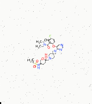 C=CS(=O)(=O)N[C@@H]1CC[C@](O)(CN2CCC3(CC2)CN(c2ncncc2Oc2ccc(F)cc2C(=O)N(CC)C(C)C)C3)OC1